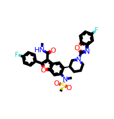 CNC(=O)c1c(-c2ccc(F)cc2)oc2cc(N(C)S(C)(=O)=O)c([C@@H]3CCCN(c4nc5cc(F)ccc5o4)C3)cc12